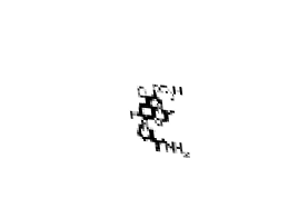 CC(CN)=C1CCCN(c2c(F)cc3c(=O)c(C(=O)O)cn4c3c2OC[C@@H]4C)C1